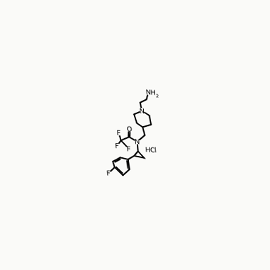 Cl.NCCN1CCC(CN(C(=O)C(F)(F)F)C2CC2c2ccc(F)cc2)CC1